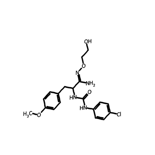 COc1ccc(CC(NC(=O)Nc2ccc(Cl)cc2)C(N)=NOCCO)cc1